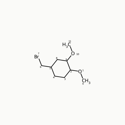 COC1CCC(CBr)CC1OC